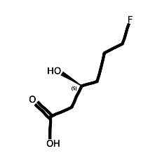 O=C(O)C[C@@H](O)CCCF